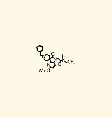 COc1ccc2c(n1)C1(CCN(Cc3ccccc3)CC1)C(=O)N2CC(=O)NCC(F)(F)F